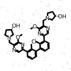 COc1nc(-c2cccc(-c3cccc(-c4cnc(CN5CC[C@H](O)C5)c(OC)n4)c3Cl)c2C)cnc1CN1CC[C@H](O)C1